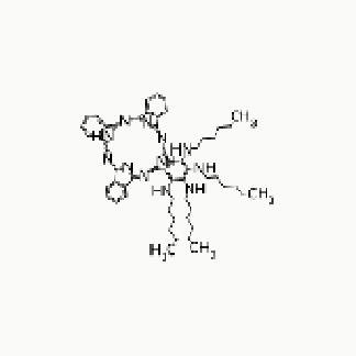 CCCCCCNc1c(NCCCCCC)c(NCCCCCC)c2c3nc4nc(nc5[nH]c(nc6nc(nc([nH]3)c2c1NCCCCCC)-c1ccccc1-6)c1ccccc51)-c1ccccc1-4